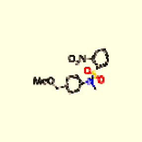 COCc1ccc(N(C)S(=O)(=O)c2ccccc2[N+](=O)[O-])cc1